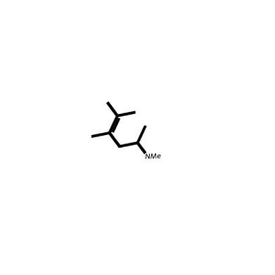 CNC(C)CC(C)=C(C)C